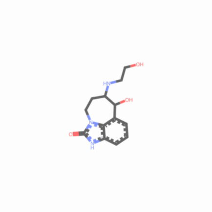 O=c1[nH]c2cccc3c2n1CCC(NCCO)C3O